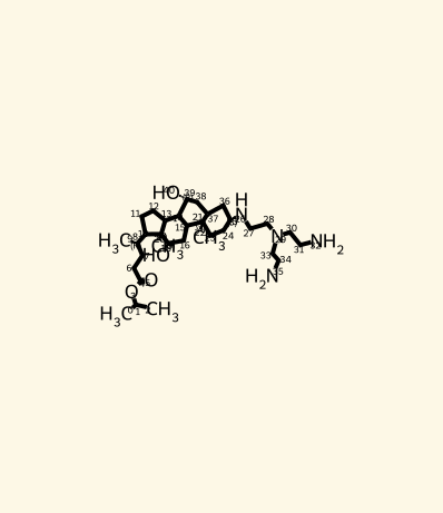 CC(C)OC(=O)CC[C@@H](C)C1CCC2C3C(C[C@H](O)[C@@]21C)[C@@]1(C)CC[C@H](NCCN(CCN)CCN)CC1C[C@H]3O